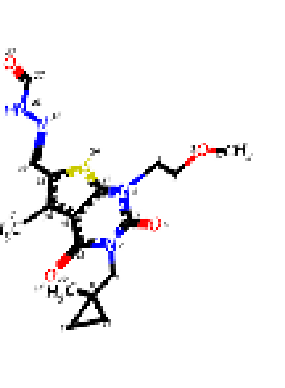 COCCn1c(=O)n(CC2(C)CC2)c(=O)c2c(C)c(/C=N/NC=O)sc21